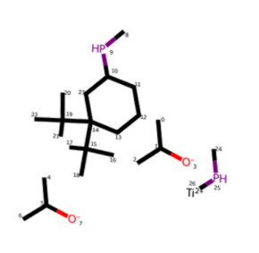 CC(C)[O-].CC(C)[O-].CPC1CCCC(C(C)(C)C)(C(C)(C)C)C1.C[PH][Ti+2]